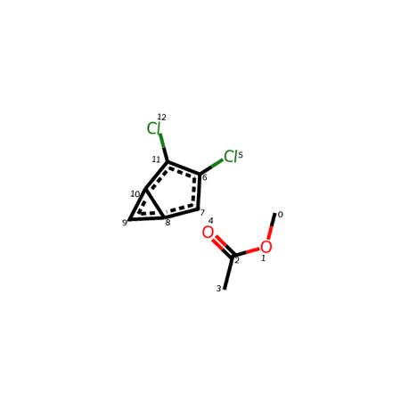 COC(C)=O.Clc1cc2cc-2c1Cl